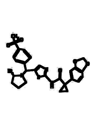 CC[C@@H]1CCCN1C(c1ccc(S(C)(=O)=O)cc1)c1cnc(NC(=O)C2(c3ccc4c(c3)OCO4)CC2)s1